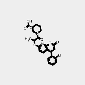 CC(Oc1ccc2c(-c3ccccc3Cl)cc(=O)oc2n1)C(=O)N1CCC[C@H](C(=O)O)C1